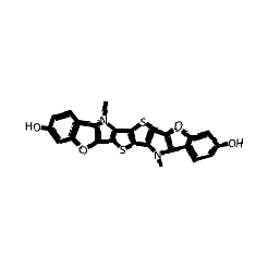 Cn1c2c3ccc(O)cc3oc2c2sc3c(sc4c5oc6cc(O)ccc6c5n(C)c43)c21